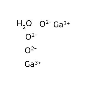 O.[Ga+3].[Ga+3].[O-2].[O-2].[O-2]